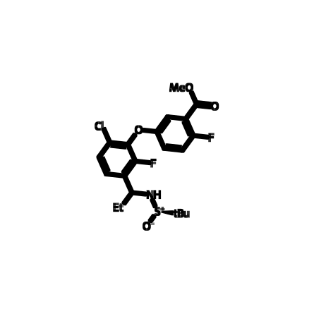 CCC(N[S@+]([O-])C(C)(C)C)c1ccc(Cl)c(Oc2ccc(F)c(C(=O)OC)c2)c1F